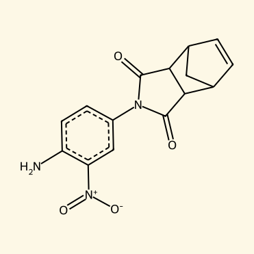 Nc1ccc(N2C(=O)C3C4C=CC(C4)C3C2=O)cc1[N+](=O)[O-]